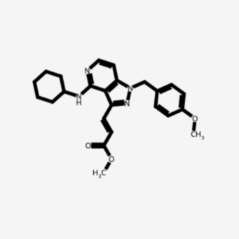 COC(=O)C=Cc1nn(Cc2ccc(OC)cc2)c2ccnc(NC3CCCCC3)c12